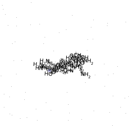 C[C@H](NC(=O)[C@@H](NC(=O)[C@@H](N)CCCCN)[C@@H](O)CN)C(=O)NCC(=O)N[C@H](CCCN)C(=O)N1CCC[C@H]1C(=O)NC(Cc1ccc(C#N)cc1)C(=O)N[C@@H](CCCCN)C(=O)N/C(=C\CCNC(=N)N)C(=O)O